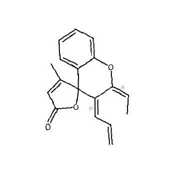 C=C/C=C1\C(=C/C)Oc2ccccc2C12OC(=O)C=C2C